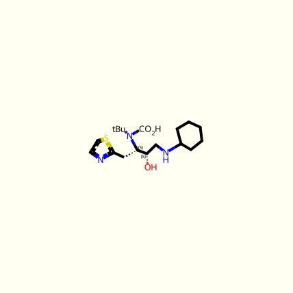 CC(C)(C)N(C(=O)O)[C@@H](Cc1nccs1)[C@@H](O)CNC1CCCCC1